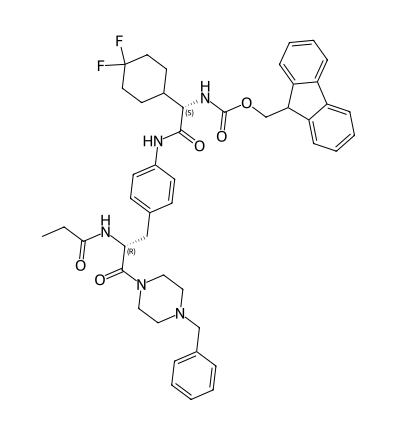 CCC(=O)N[C@H](Cc1ccc(NC(=O)[C@@H](NC(=O)OCC2c3ccccc3-c3ccccc32)C2CCC(F)(F)CC2)cc1)C(=O)N1CCN(Cc2ccccc2)CC1